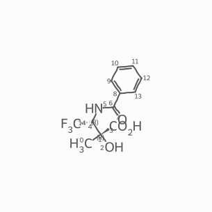 C[C@](O)(C(=O)O)[C@@H](NC(=O)c1ccccc1)C(F)(F)F